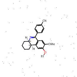 CCOc1cc2c(cc1OC)C(c1ccc(C#N)cc1)=N[C@@H]1CCCC[C@H]21